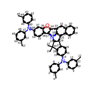 Cc1cccc(N(c2cccc(C)c2)c2ccc3c(c2)C(C)(C)c2c-3c3c4ccccc4cc4c5oc6cc(N(c7cccc(C)c7)c7cccc(C)c7)ccc6c5n2c43)c1